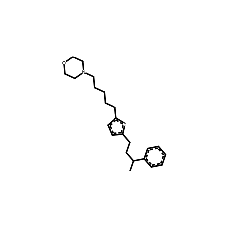 CC(CCc1ccc(CCCCCN2CCOCC2)s1)c1ccccc1